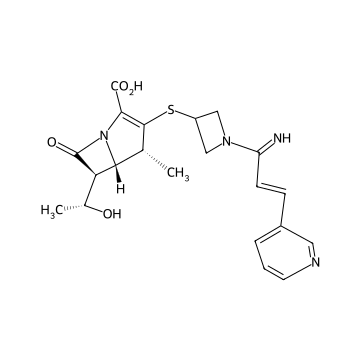 C[C@@H](O)[C@H]1C(=O)N2C(C(=O)O)=C(SC3CN(C(=N)C=Cc4cccnc4)C3)[C@H](C)[C@H]12